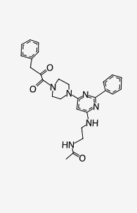 CC(=O)NCCNc1cc(N2CCN(C(=O)C(=O)Cc3ccccc3)CC2)nc(-c2ccccc2)n1